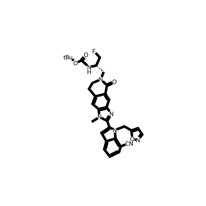 Cn1c(-c2cc3cccc(C#N)c3n2Cc2ccno2)nc2cc3c(cc21)CCN(C[C@@H](CF)NC(=O)OC(C)(C)C)C3=O